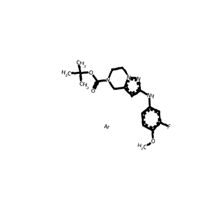 COc1ccc(Nc2cc3n(n2)CCN(C(=O)OC(C)(C)C)C3)cc1F.[Ar]